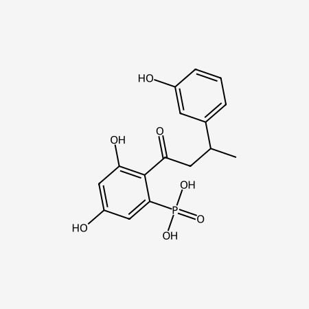 CC(CC(=O)c1c(O)cc(O)cc1P(=O)(O)O)c1cccc(O)c1